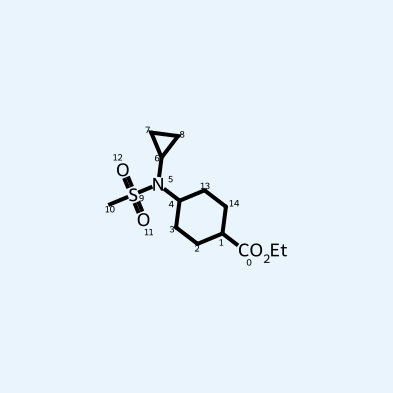 CCOC(=O)C1CCC(N(C2CC2)S(C)(=O)=O)CC1